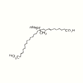 CCCCCCCC(C)(CCCCCCCCCCCCCCC(=O)O)CCCCCCCCCC(=O)O